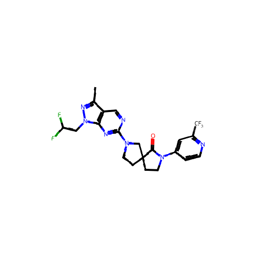 Cc1nn(CC(F)F)c2nc(N3CCC4(CCN(c5ccnc(C(F)(F)F)c5)C4=O)C3)ncc12